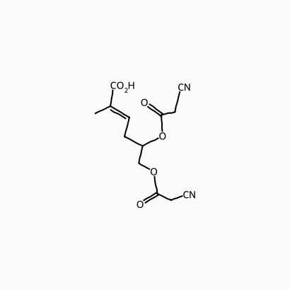 CC(=CCC(COC(=O)CC#N)OC(=O)CC#N)C(=O)O